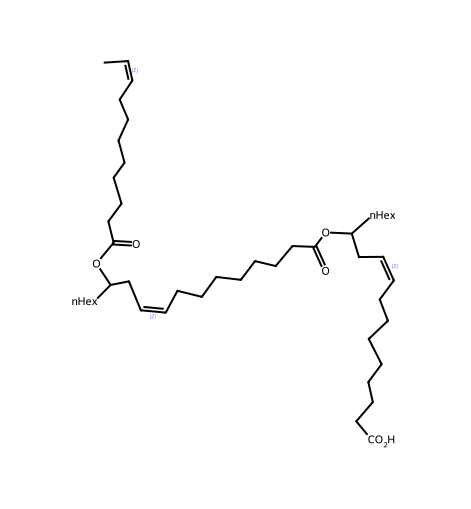 C/C=C\CCCCCCCC(=O)OC(C/C=C\CCCCCCCC(=O)OC(C/C=C\CCCCCCCC(=O)O)CCCCCC)CCCCCC